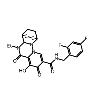 CCN1C(=O)c2c(O)c(=O)c(C(=O)NCc3ccc(F)cc3F)cn2N2C3CCC(CC3)C12